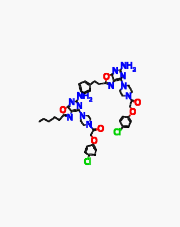 CCCCCc1nc2c(N3CCN(C(=O)COc4ccc(Cl)cc4)CC3)nc(N)nc2o1.Nc1nc(N2CCN(C(=O)COc3ccc(Cl)cc3)CC2)c2nc(CCc3ccccc3)oc2n1